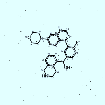 OC(c1ccc(F)c(-c2ncnc3cc(N4CCOCC4)ccc23)c1)c1cccc2c1CCNC2